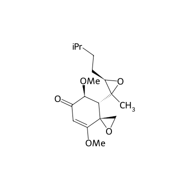 COC1=CC(=O)[C@@H](OC)[C@H](C2(C)O[C@@H]2CCC(C)C)[C@@]12CO2